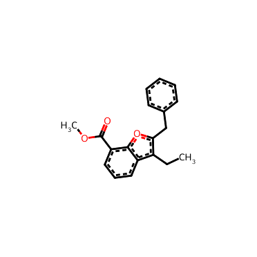 CCc1c(Cc2ccccc2)oc2c(C(=O)OC)cccc12